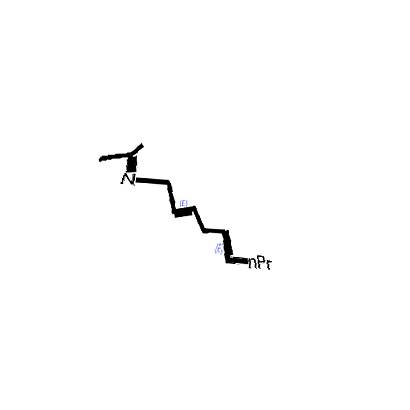 CCC/C=C/C/C=C/CN=C(C)C